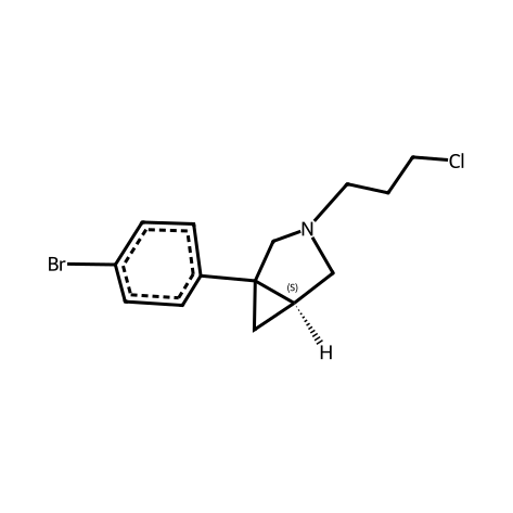 ClCCCN1C[C@H]2CC2(c2ccc(Br)cc2)C1